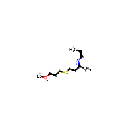 C/C=C\N=C(/C)CCSCCCOCC